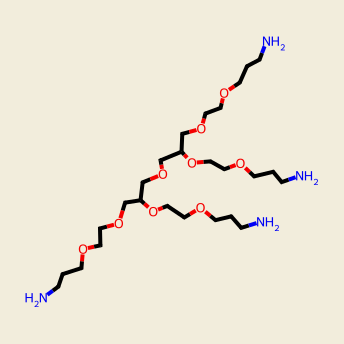 NCCCOCCOCC(COCC(COCCOCCCN)OCCOCCCN)OCCOCCCN